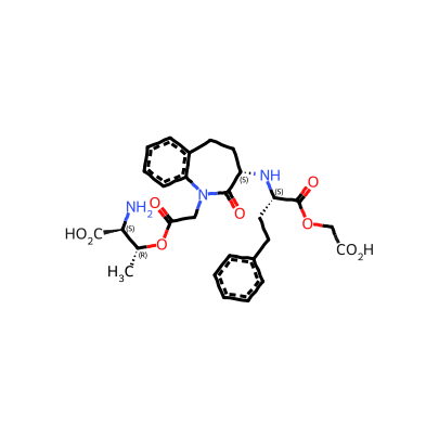 C[C@@H](OC(=O)CN1C(=O)[C@@H](N[C@@H](CCc2ccccc2)C(=O)OCC(=O)O)CCc2ccccc21)[C@H](N)C(=O)O